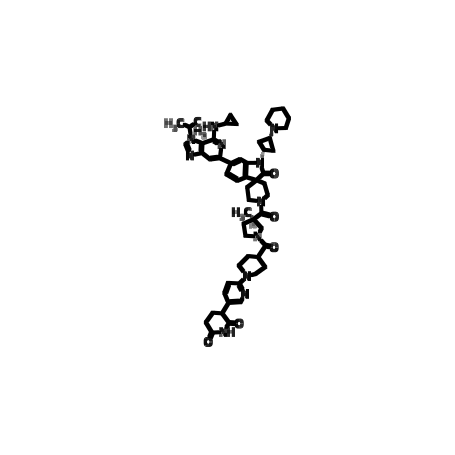 CC(C)n1cnc2cc(-c3ccc4c(c3)N([C@H]3C[C@@H](N5CCCCC5)C3)C(=O)C43CCN(C(=O)[C@]4(C)CCN(C(=O)C5CCN(c6ccc(C7CCC(=O)NC7=O)cn6)CC5)C4)CC3)nc(NC3CC3)c21